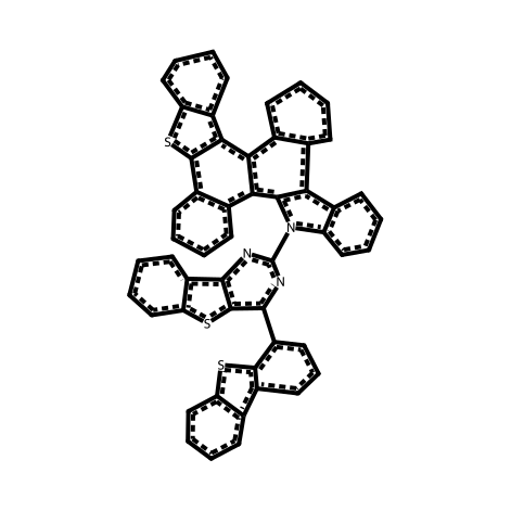 c1ccc2c(c1)sc1c(-c3nc(-n4c5ccccc5c5c6ccccc6c6c7c8ccccc8sc7c7ccccc7c6c54)nc4c3sc3ccccc34)cccc12